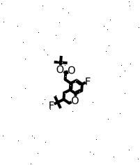 CC(C)(C)OC(=O)Cc1cc(F)cc2c1CC(C(C)(C)F)CO2